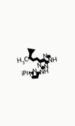 CC(C)n1ccc(Nc2nc(CC[C@@H](C)C3CC3)c3nc[nH]c3n2)n1